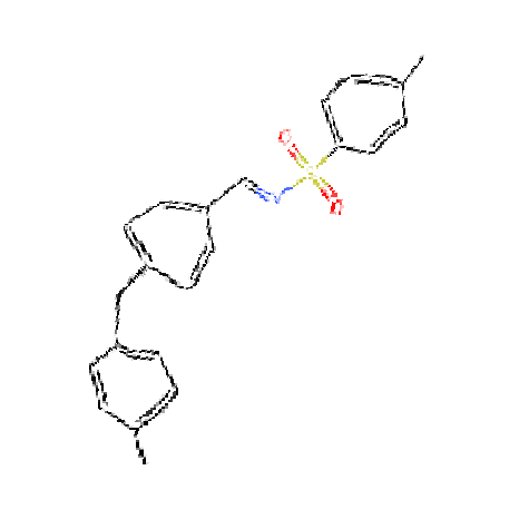 Cc1ccc(Cc2ccc(C=NS(=O)(=O)c3ccc(C)cc3)cc2)cc1